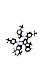 CC(C)(C)c1ccc(N2B3c4sc5ccc(C(C)(C)C)cc5c4-n4c5ccc(C(C)(C)C)cc5c5c6c(c(c3c54)-c3cc4c(cc32)C(C)(C)CCC4(C)C)-c2ccccc2C6(C)C)cc1